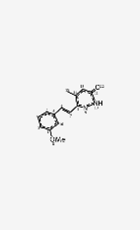 COc1cccc(C=Cc2n[nH]c(=O)cc2C)c1